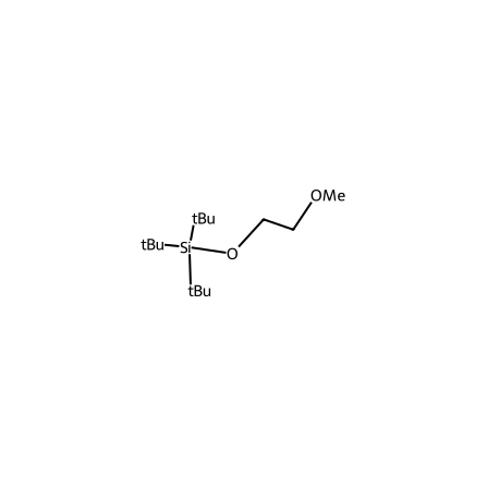 COCCO[Si](C(C)(C)C)(C(C)(C)C)C(C)(C)C